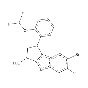 CN1CC(c2ccccc2OC(F)F)n2c1nc1cc(F)c(Br)cc12